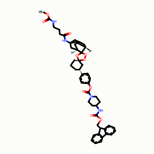 CC(C)(C)OC(=O)NCCCC(=O)NC12CC3C[C@H](C1)C1(OO[C@@]4(CCC[C@@H](c5ccc(OC(=O)N6CCC(NC(=O)OCC7c8ccccc8-c8ccccc87)CC6)cc5)C4)O1)[C@@H](C3)C2